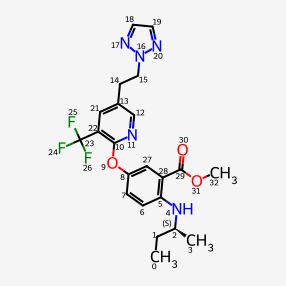 CC[C@H](C)Nc1ccc(Oc2ncc(CCn3nccn3)cc2C(F)(F)F)cc1C(=O)OC